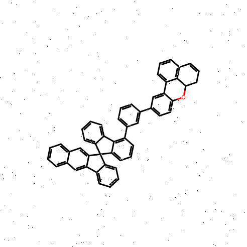 C1=Cc2cccc3c2C(C1)Oc1ccc(-c2cccc(-c4cccc5c4-c4ccccc4C54c5ccccc5-c5cc6ccccc6cc54)c2)cc1-3